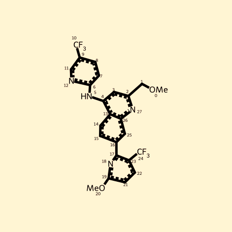 COCc1cc(Nc2ccc(C(F)(F)F)cn2)c2ccc(-c3nc(OC)ccc3C(F)(F)F)cc2n1